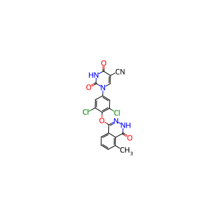 Cc1cccc2c(Oc3c(Cl)cc(-n4cc(C#N)c(=O)[nH]c4=O)cc3Cl)n[nH]c(=O)c12